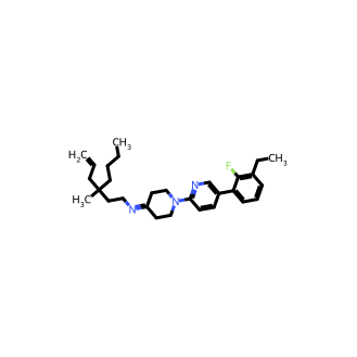 C=CCC(C)(CCCC)CCN=C1CCN(c2ccc(-c3cccc(CC)c3F)cn2)CC1